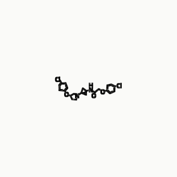 O=C(COc1ccc(Cl)cc1)NC12CC(N3CCC(Oc4ccc(Cl)cc4)C3)(C1)C2